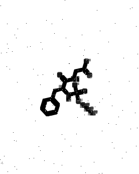 O=C([O-])CNC(=O)[C@H](Cc1ccccc1)NP(=O)([O-])[O-].[Na+].[Na+].[Na+]